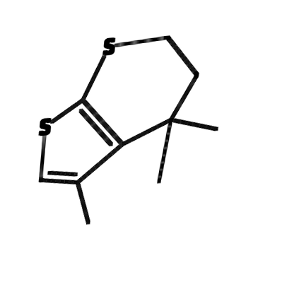 Cc1csc2c1C(C)(C)CCS2